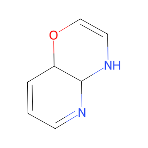 C1=CC2OC=CNC2N=C1